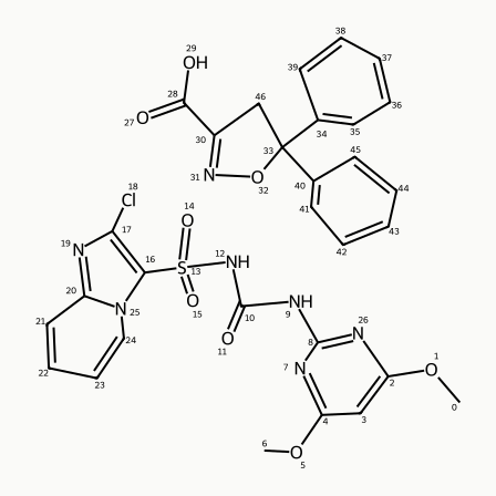 COc1cc(OC)nc(NC(=O)NS(=O)(=O)c2c(Cl)nc3ccccn23)n1.O=C(O)C1=NOC(c2ccccc2)(c2ccccc2)C1